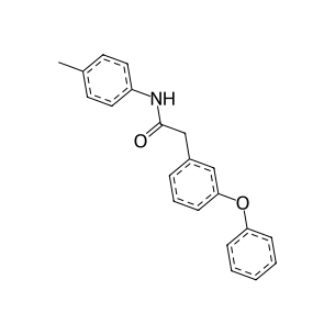 Cc1ccc(NC(=O)Cc2cccc(Oc3ccccc3)c2)cc1